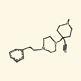 CN1CCC(C#N)(N2CCN(CCc3ccccc3)CC2)CC1